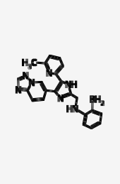 Bc1ccccc1NCc1nc(-c2ccc3ncnn3c2)c(-c2cccc(C)n2)[nH]1